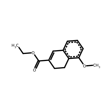 CCOC(=O)C1=Cc2cccc(OC)c2CC1